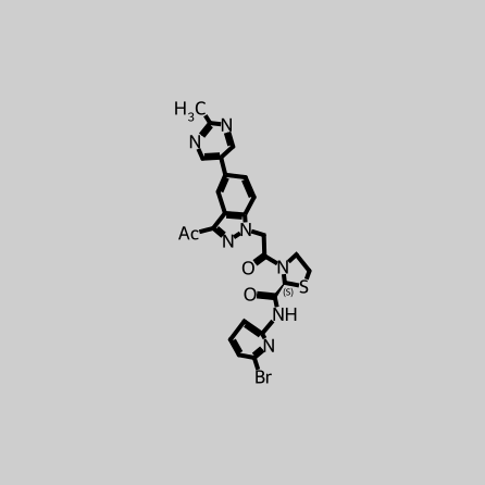 CC(=O)c1nn(CC(=O)N2CCS[C@H]2C(=O)Nc2cccc(Br)n2)c2ccc(-c3cnc(C)nc3)cc12